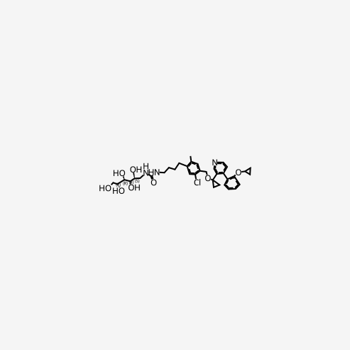 Cc1cc(COC2(c3cnccc3-c3ccccc3OC3CC3)CC2)c(Cl)cc1CCCCNC(=O)NC[C@H](O)[C@@H](O)[C@H](O)[C@H](O)CO